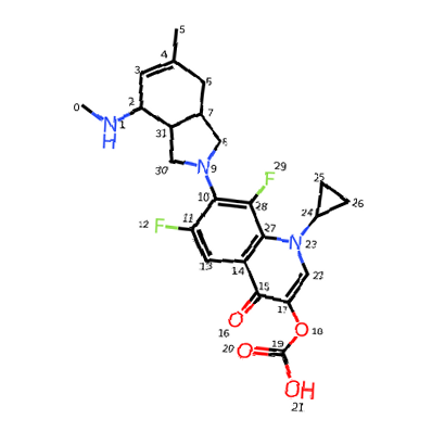 CNC1C=C(C)CC2CN(c3c(F)cc4c(=O)c(OC(=O)O)cn(C5CC5)c4c3F)CC21